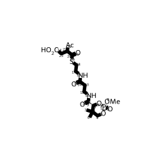 COP1(=O)OCC(C)(C)[C@H](C(=O)NCCC(=O)NCCSC(=O)C(CC(=O)O)C(C)=O)O1